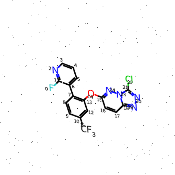 Fc1ncccc1-c1ccc(C(F)(F)F)cc1Oc1ccc2nnc(Cl)n2n1